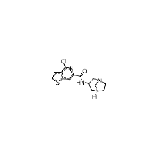 O=C(N[C@@H]1C[C@@H]2CCN(C2)C1)c1cc2sccc2c(Cl)n1